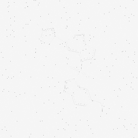 COc1ccc2ncc(S(=O)(=O)n3ncc4ncc(-c5cnn(C)c5)cc43)n2c1